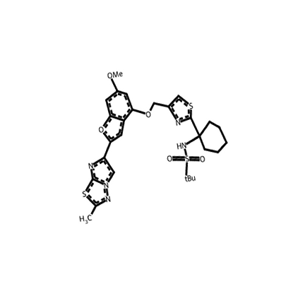 COc1cc(OCc2csc(C3(NS(=O)(=O)C(C)(C)C)CCCCC3)n2)c2cc(-c3cn4nc(C)sc4n3)oc2c1